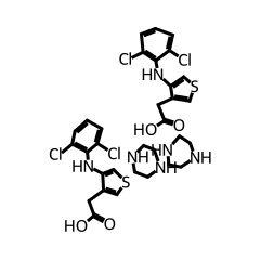 C1CNCCN1.C1CNCCN1.O=C(O)Cc1cscc1Nc1c(Cl)cccc1Cl.O=C(O)Cc1cscc1Nc1c(Cl)cccc1Cl